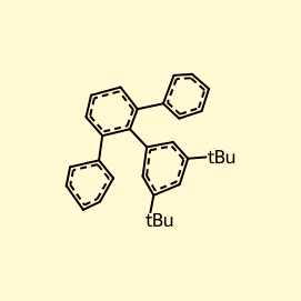 CC(C)(C)c1cc(-c2c(-c3ccccc3)cccc2-c2ccccc2)cc(C(C)(C)C)c1